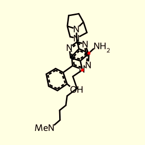 CNCCCCCCCc1cnc(N2C3CCC2CN(c2cc(-c4ccccc4O)nnc2N)C3)nc1